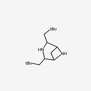 CC(C)(C)CC1NC(CC(C)(C)C)C2CC1N2